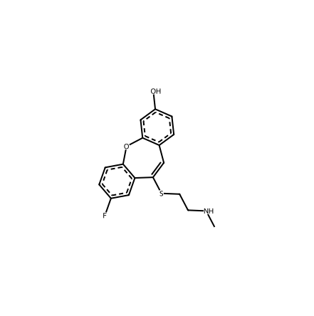 CNCCSC1=Cc2ccc(O)cc2Oc2ccc(F)cc21